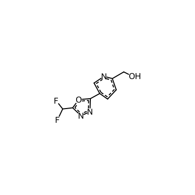 OCc1ccc(-c2nnc(C(F)F)o2)cn1